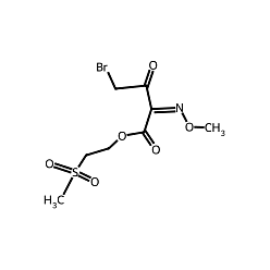 CON=C(C(=O)CBr)C(=O)OCCS(C)(=O)=O